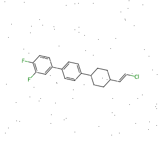 Fc1ccc(-c2ccc(C3CCC(/C=C/Cl)CC3)cc2)cc1F